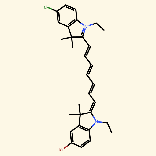 CCN1/C(=C/C=C/C=C/C=C/C2=[N+](CC)c3ccc(Cl)cc3C2(C)C)C(C)(C)c2cc(Br)ccc21